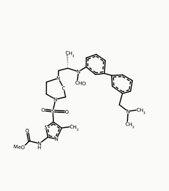 COC(=O)Nc1nc(C)c(S(=O)(=O)N2CCN(C[C@H](C)N(C=O)c3cccc(-c4cccc(CN(C)C)c4)c3)CC2)s1